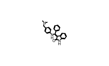 CN(C)Cc1ccc(N/C(=C2\C(=O)Nc3ccccc32)c2ccccc2)cc1